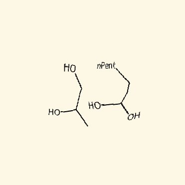 CC(O)CO.CCCCCCC(O)O